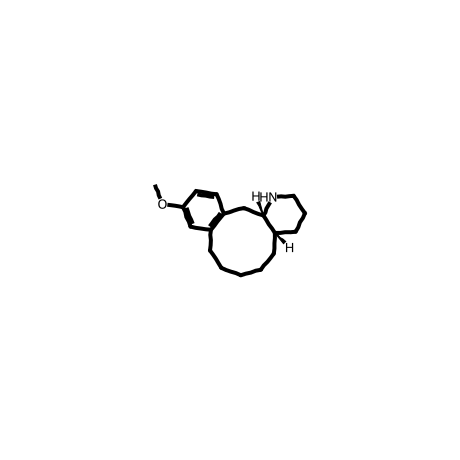 COc1ccc2c(c1)CCCCC[C@H]1CCCN[C@H]1C2